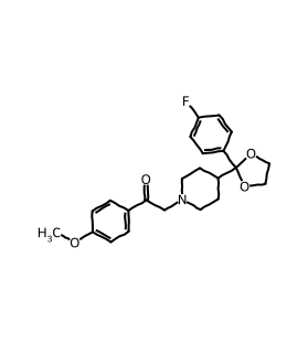 COc1ccc(C(=O)CN2CCC(C3(c4ccc(F)cc4)OCCO3)CC2)cc1